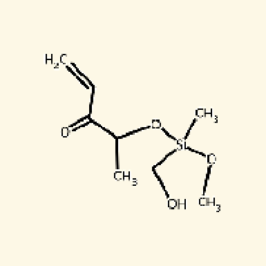 C=CC(=O)C(C)O[Si](C)(CO)OC